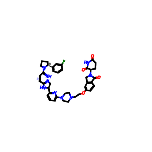 N=C(/C=C\C1=NCC(c2cccc(N3CCN(CCOc4ccc5c(c4)CN(C4CCC(=O)NC4=O)C5=O)CC3)n2)N1)N1CCC[C@@H]1c1cccc(F)c1